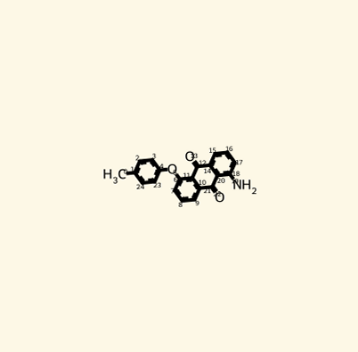 Cc1ccc(Oc2cccc3c2C(=O)c2cccc(N)c2C3=O)cc1